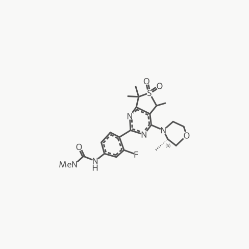 CNC(=O)Nc1ccc(-c2nc(N3CCOC[C@@H]3C)c3c(n2)C(C)(C)S(=O)(=O)C3C)c(F)c1